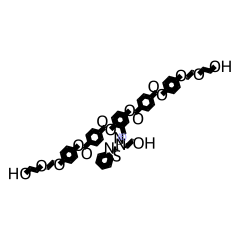 O=C(Oc1ccc(OCCOCCO)cc1)C1CCC(C(=O)Oc2ccc(OC(=O)C3CCC(C(=O)Oc4ccc(OCCOCCO)cc4)CC3)c(/C=N/N(CCO)c3nc4ccccc4s3)c2)CC1